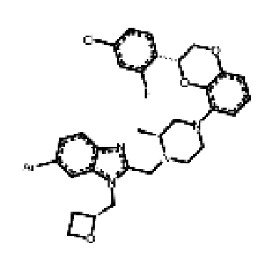 CC(=O)c1ccc2nc(CN3CCN(c4cccc5c4O[C@H](c4ccc(Cl)cc4F)CO5)C[C@@H]3C)n(C[C@@H]3CCO3)c2c1